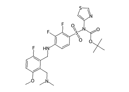 COc1ccc(F)c(CNc2ccc(S(=O)(=O)N(C(=O)OC(C)(C)C)c3cscn3)c(F)c2F)c1CN(C)C